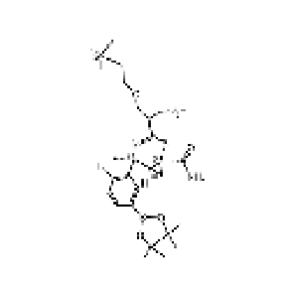 CC1(C)OB(c2ccc(F)c([C@@]3(C)N=C(N(COCC[Si](C)(C)C)C(=O)O)S[C@@]4(C(N)=O)C[C@H]43)c2)OC1(C)C